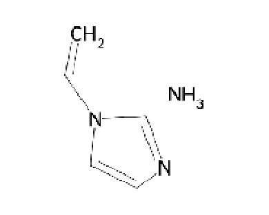 C=Cn1ccnc1.N